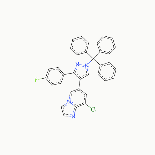 Fc1ccc(-c2nn(C(c3ccccc3)(c3ccccc3)c3ccccc3)cc2-c2cc(Cl)c3nccn3c2)cc1